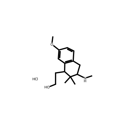 CNC1Cc2ccc(OC)cc2C(CCO)C1(C)C.Cl